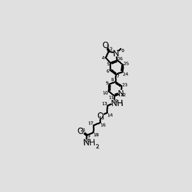 CN1C(=O)Cc2cc(-c3ccc(NCCOCCCC(N)=O)nc3)ccc21